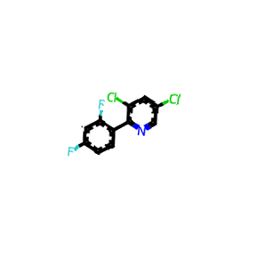 Fc1[c]c(F)c(-c2ncc(Cl)cc2Cl)cc1